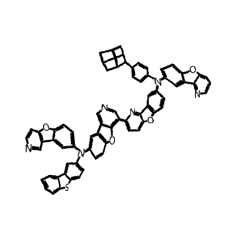 c1cnc2c(c1)oc1ccc(N(c3ccc(C4C5CC6CC7CC4C675)cc3)c3ccc4oc5ccc(-c6cncc7c6oc6ccc(N(c8ccc9oc%10ccncc%10c9c8)c8ccc9sc%10ccccc%10c9c8)cc67)nc5c4c3)cc12